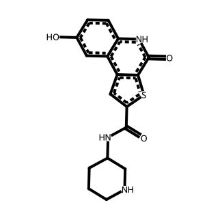 O=C(NC1CCCNC1)c1cc2c(s1)c(=O)[nH]c1ccc(O)cc12